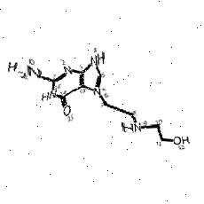 Nc1nc2[nH]c[n+](CCNCCO)c2c(=O)[nH]1